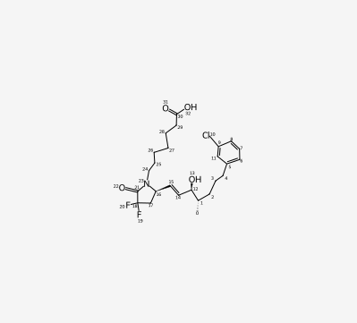 C[C@@H](CCCc1cccc(Cl)c1)[C@H](O)/C=C/[C@H]1CC(F)(F)C(=O)N1CCCCCCC(=O)O